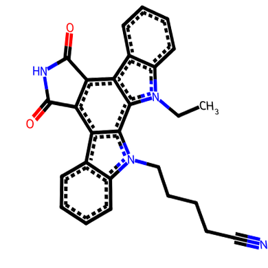 CCn1c2ccccc2c2c3c(c4c5ccccc5n(CCCCC#N)c4c21)C(=O)NC3=O